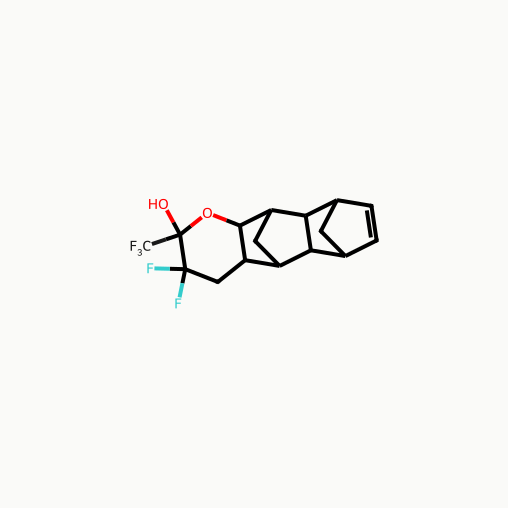 OC1(C(F)(F)F)OC2C(CC1(F)F)C1CC2C2C3C=CC(C3)C12